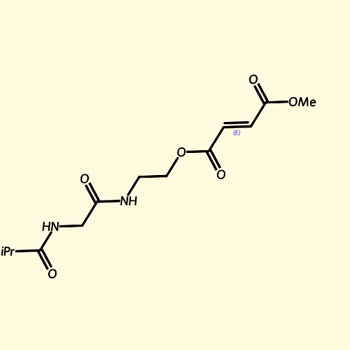 COC(=O)/C=C/C(=O)OCCNC(=O)CNC(=O)C(C)C